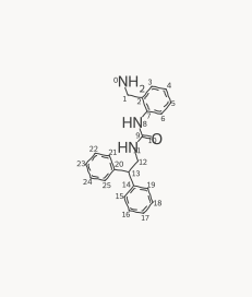 NCc1ccccc1NC(=O)NCC(c1ccccc1)c1ccccc1